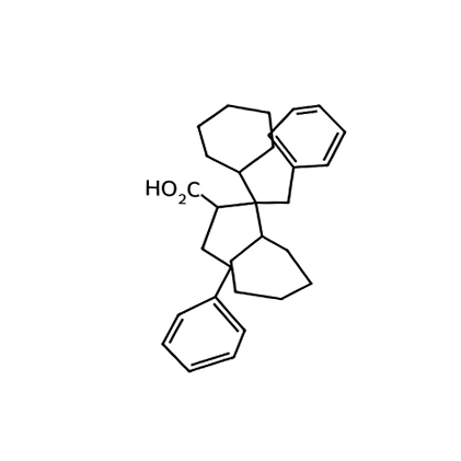 O=C(O)C(CCc1ccccc1)C(Cc1ccccc1)(C1CCCCC1)C1CCCCC1